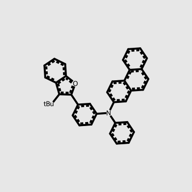 CC(C)(C)c1c(-c2cccc(N(c3ccccc3)c3ccc4c(ccc5ccccc54)c3)c2)oc2ccccc12